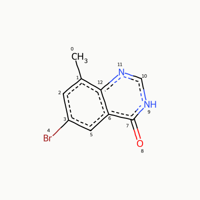 Cc1cc(Br)cc2c(=O)[nH]cnc12